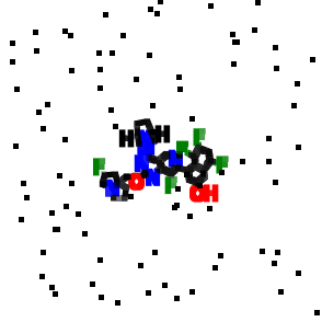 Oc1cc(-c2ncc3c(N4C[C@H]5CC[C@@H](C4)N5)nc(OC[C@@]45CCCN4C[C@H](F)C5)nc3c2F)c2c(F)c(F)cc(F)c2c1